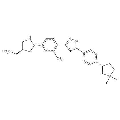 Cc1cc([C@@H]2C[C@@H](CC(=O)O)CN2)ccc1-c1noc(-c2ccc([C@@H]3CCC(F)(F)C3)cc2)n1